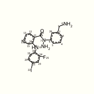 NCc1cccc(N(N)C(=O)c2ccncc2Nc2ccc(I)cc2F)c1